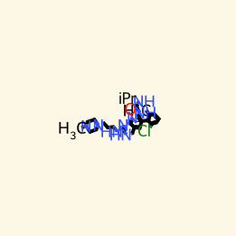 Cc1cccc(Cl)c1-c1cc2c(nc1NC(=O)NC(C)C)N=C(NCCCN1CCN(C)CC1)NC2